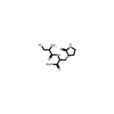 COC(=O)C(C[C@@H]1CCNC1=O)NC(=O)C(N)CC(C)C